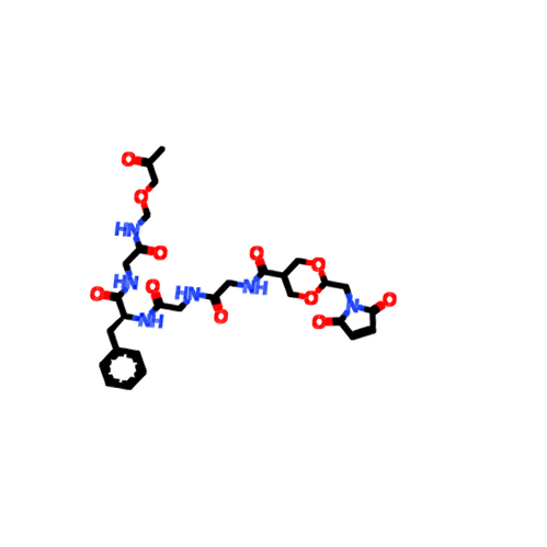 CC(=O)COCNC(=O)CNC(=O)[C@H](Cc1ccccc1)NC(=O)CNC(=O)CNC(=O)C1COC(CN2C(=O)C=CC2=O)OC1